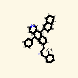 Cc1ccccc1/C=C\Cc1ccc2c(-c3ccc4ccccc4c3)c3cnccc3c(-c3ccccc3)c2c1